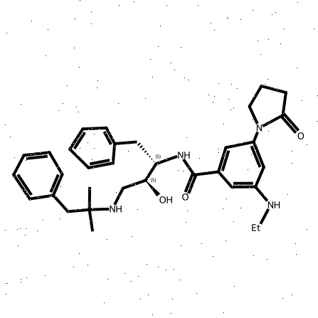 CCNc1cc(C(=O)N[C@@H](Cc2ccccc2)[C@@H](O)CNC(C)(C)Cc2ccccc2)cc(N2CCCC2=O)c1